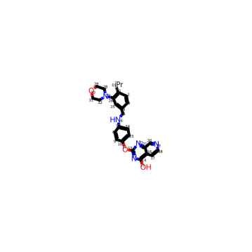 CC(C)c1ccc(CNc2ccc(Oc3nc(O)c4ccncc4n3)cc2)cc1N1CCOCC1